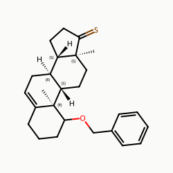 C[C@]12CC[C@H]3[C@@H](CC=C4CCCC(OCc5ccccc5)[C@@]43C)[C@@H]1CCC2=S